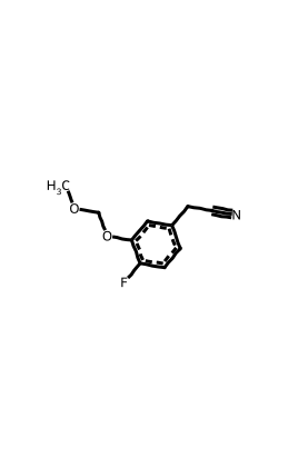 COCOc1cc(CC#N)ccc1F